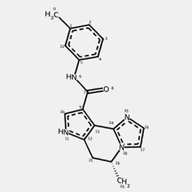 Cc1cccc(NC(=O)c2c[nH]c3c2-c2nccn2[C@H](C)C3)c1